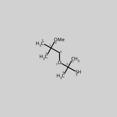 COC(C)(C)COC(C)(C)S